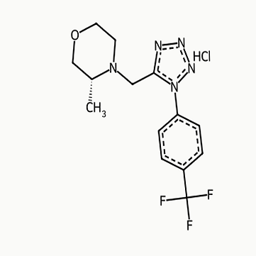 C[C@@H]1COCCN1Cc1nnnn1-c1ccc(C(F)(F)F)cc1.Cl